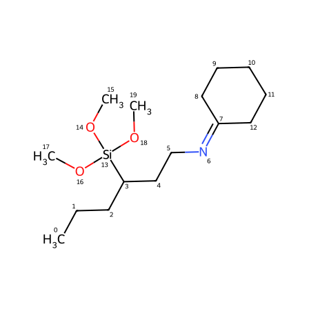 CCCC(CCN=C1CCCCC1)[Si](OC)(OC)OC